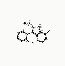 Cc1cccc2c(-c3ccccc3C#N)c(C(=O)O)[nH]c12